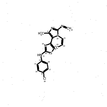 C=Nc1nc(C)c(-c2csc(Nc3ccc(Cl)cc3)n2)n1/C=C\C